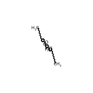 CCCCCCCCCCc1cnc(-c2ccc(OC(=O)c3ccc(CCCCCCCCC)cc3)cc2F)nc1